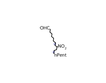 CCCCC/C=C\CC(/C=C/CCCCCC[C]=O)[N+](=O)[O-]